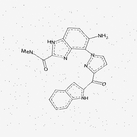 CNC(=O)c1nc2c(-n3ccc(C(=O)c4cc5ccccc5[nH]4)n3)c(N)ccc2[nH]1